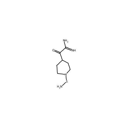 N=C(N)C(=O)C1CCN(SN)CC1